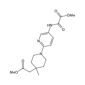 COC(=O)CC1(C)CCN(c2ccc(NC(=O)C(=O)OC)cn2)CC1